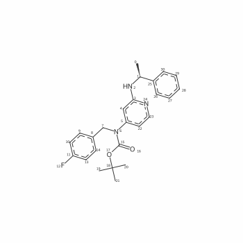 C[C@H](Nc1cc(N(Cc2ccc(F)cc2)C(=O)OC(C)(C)C)ccn1)c1ccccc1